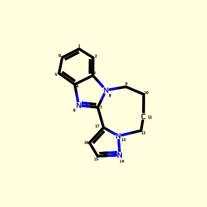 c1ccc2c(c1)nc1n2CCCCn2nccc2-1